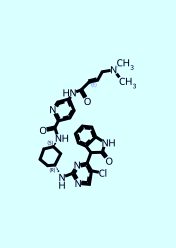 CN(C)C/C=C/C(=O)Nc1ccc(C(=O)N[C@H]2CCC[C@@H](Nc3ncc(Cl)c(C4C(=O)Nc5ccccc54)n3)C2)nc1